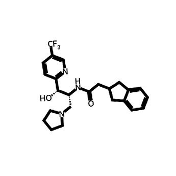 O=C(CC1Cc2ccccc2C1)N[C@H](CN1CCCC1)[C@H](O)c1ccc(C(F)(F)F)cn1